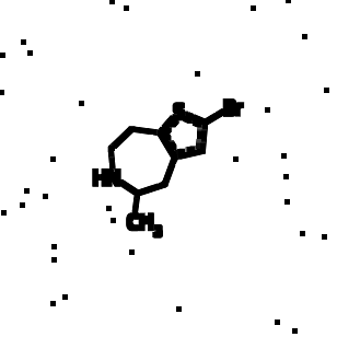 CC1Cc2cc(Br)sc2CCN1